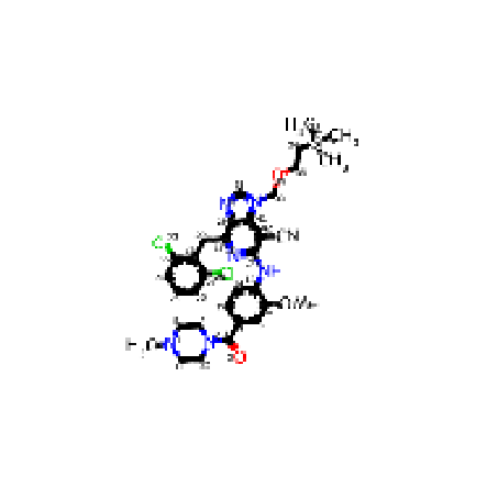 COc1cc(C(=O)N2CCN(C)CC2)ccc1Nc1nc(Cc2c(Cl)cccc2Cl)c2ncn(COCC[Si](C)(C)C)c2c1C#N